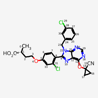 C[C@H](CCOc1ccc(-c2nc3c(OC4(C#N)CC4)ncnc3n2Cc2cccc(Cl)c2)c(Cl)c1)C(=O)O